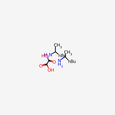 CCCCC(C)N.CCCCC(C)N.O=C(O)C(=O)O